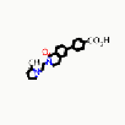 C[C@@H]1CCCN1CCN1CCc2cc(-c3ccc(C(=O)O)cc3)ccc2C1=O